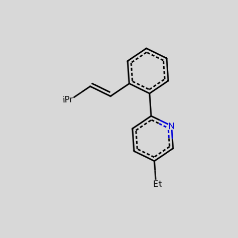 CCc1ccc(-c2ccccc2/C=C/C(C)C)nc1